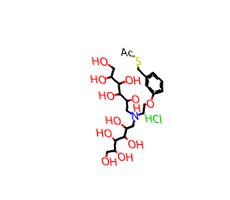 CC(=O)SCc1cccc(OCCN(CC(O)C(O)C(O)C(O)CO)CC(O)C(O)C(O)C(O)CO)c1.Cl